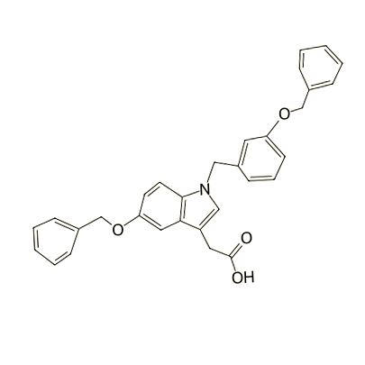 O=C(O)Cc1cn(Cc2cccc(OCc3ccccc3)c2)c2ccc(OCc3ccccc3)cc12